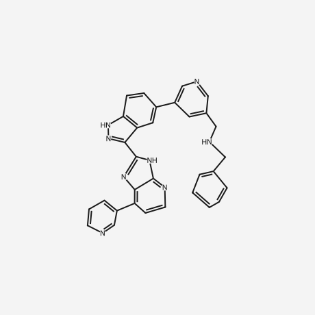 c1ccc(CNCc2cncc(-c3ccc4[nH]nc(-c5nc6c(-c7cccnc7)ccnc6[nH]5)c4c3)c2)cc1